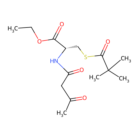 CCOC(=O)[C@H](CSC(=O)C(C)(C)C)NC(=O)CC(C)=O